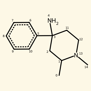 CC1CC(N)(c2ccccc2)CCN1C